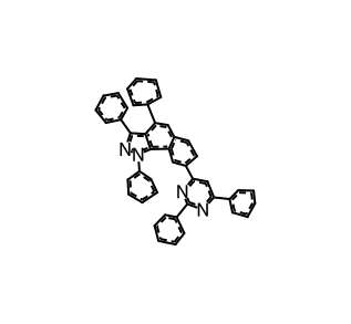 c1ccc(-c2cc(-c3ccc4cc(-c5ccccc5)c5c(-c6ccccc6)nn(-c6ccccc6)c5c4c3)nc(-c3ccccc3)n2)cc1